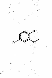 CP(C)c1cc(Br)ccc1N